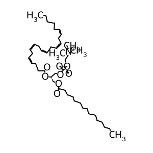 CCCCC/C=C\C/C=C\C/C=C\C/C=C\C/C=C\CCC(=O)O[C@H](COC(=O)CCCCCCCCCCCCCC)COP(=O)([O-])OCC[N+](C)(C)C